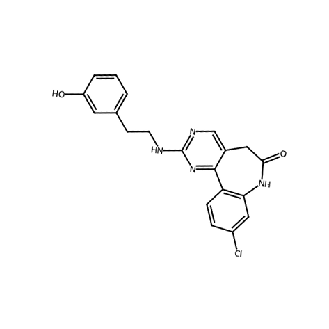 O=C1Cc2cnc(NCCc3cccc(O)c3)nc2-c2ccc(Cl)cc2N1